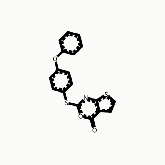 O=c1oc(Sc2ccc(Oc3ccccc3)cc2)nc2sccc12